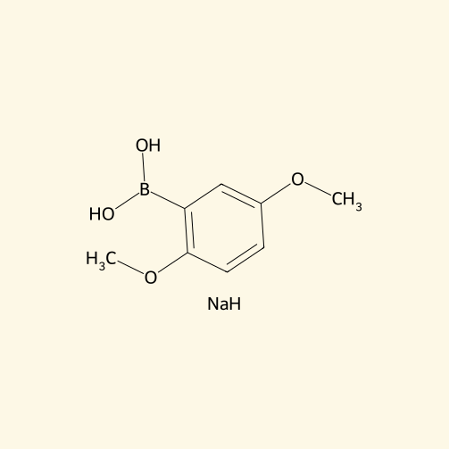 COc1ccc(OC)c(B(O)O)c1.[NaH]